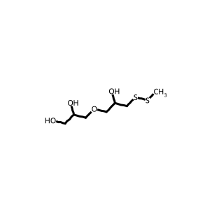 CSSCC(O)COCC(O)CO